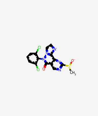 C[S+]([O-])c1ncc2c(=O)n(-c3c(Cl)cccc3Cl)n3ccnc3c2n1